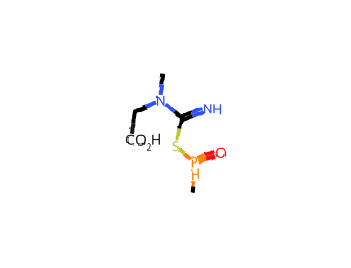 CN(CC(=O)O)C(=N)S[PH](C)=O